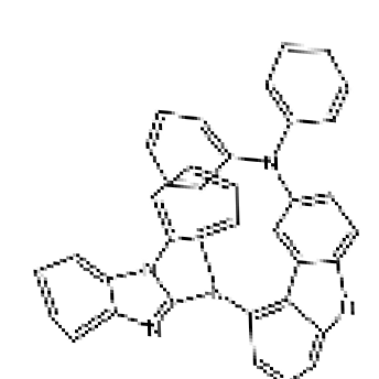 c1ccc(N(c2ccccc2)c2ccc3oc4cccc(-n5c6ccccc6n6c7ccccc7nc56)c4c3c2)cc1